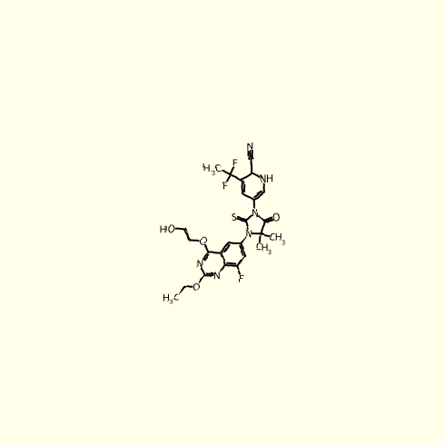 CCOc1nc(OCCO)c2cc(N3C(=S)N(C4=CNC(C#N)C(C(C)(F)F)=C4)C(=O)C3(C)C)cc(F)c2n1